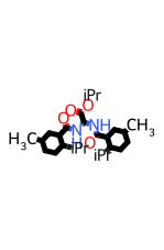 CC1CCC(C(C)C)C(C(=O)NC(NC(=O)C2CC(C)CCC2C(C)C)C(=O)OC(C)C)C1